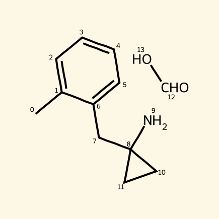 Cc1ccccc1CC1(N)CC1.O=CO